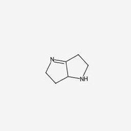 C1CC2NCCC2=N1